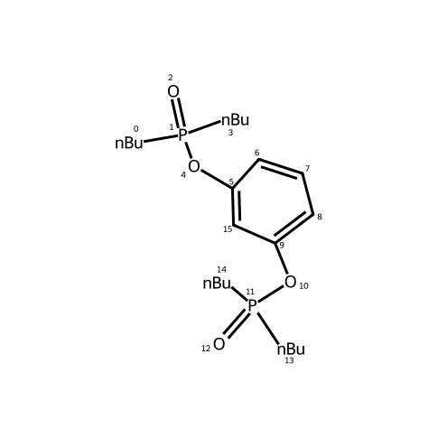 CCCCP(=O)(CCCC)Oc1cccc(OP(=O)(CCCC)CCCC)c1